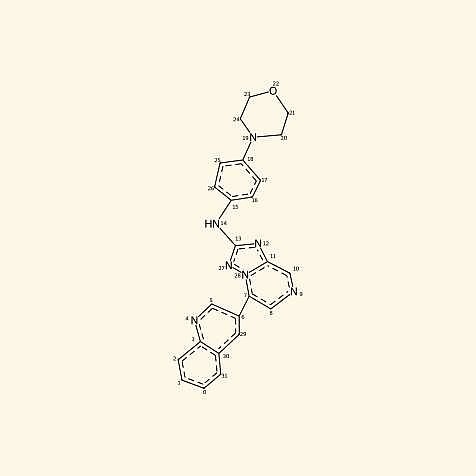 c1ccc2ncc(-c3cncc4nc(Nc5ccc(N6CCOCC6)cc5)nn34)cc2c1